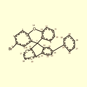 Brc1ccc2c(c1)C1(c3ccccc3O2)c2ccccc2-c2ccc(-c3ccccc3)cc21